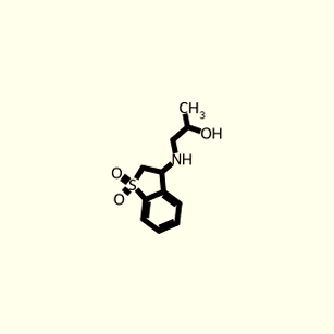 CC(O)CNC1CS(=O)(=O)c2ccccc21